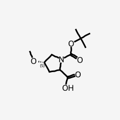 CO[C@H]1CC(C(=O)O)N(C(=O)OC(C)(C)C)C1